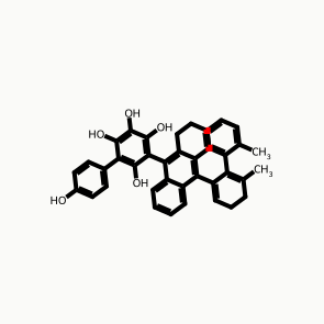 CC1=C(c2ccccc2C)C(c2c3c(c(-c4c(O)c(O)c(O)c(-c5ccc(O)cc5)c4O)c4ccccc24)CCC=C3)=CCC1